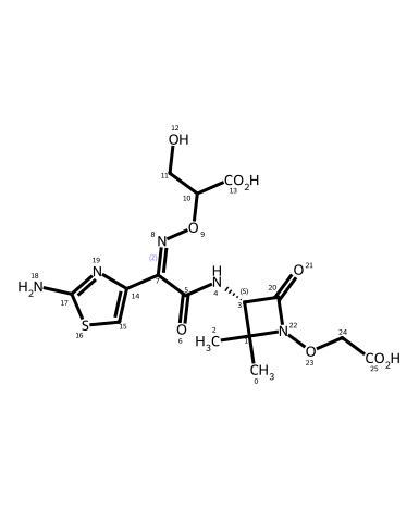 CC1(C)[C@H](NC(=O)/C(=N\OC(CO)C(=O)O)c2csc(N)n2)C(=O)N1OCC(=O)O